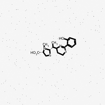 CC(C1CCSC(c2ccccc2O)=N1)[C@@H]1SC[C@H](C(=O)O)N1C